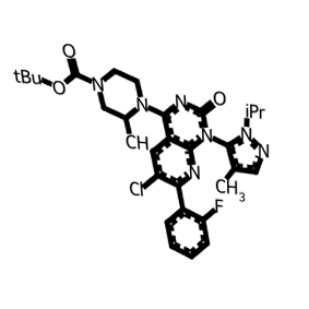 Cc1cnn(C(C)C)c1-n1c(=O)nc(N2CCN(C(=O)OC(C)(C)C)CC2C)c2cc(Cl)c(-c3ccccc3F)nc21